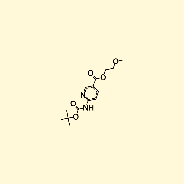 COCCOC(=O)c1ccc(NC(=O)OC(C)(C)C)nc1